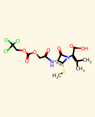 CS[C@@H]1[C@H](NC(=O)COC(=O)OCC(Cl)(Cl)Cl)C(=O)N1C(C(=O)O)=C(C)C